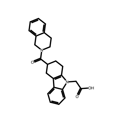 O=C(O)Cn1c2c(c3ccccc31)CC(C(=O)N1CCc3ccccc3C1)CC2